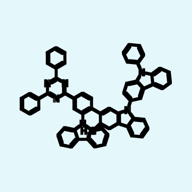 CC1Cc2c(n(-c3ccc4c(c3)c3ccccc3n4-c3ccccc3)c3ccccc23)C=C1c1ccc(-c2nc(-c3ccccc3)nc(-c3ccccc3)n2)cc1-n1c2ccccc2c2ccccc21